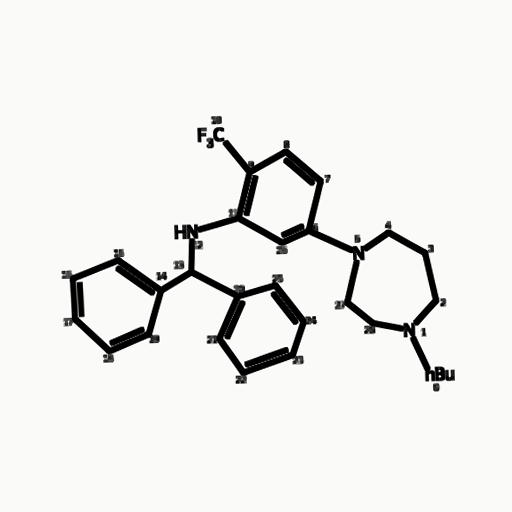 CCCCN1CCCN(c2ccc(C(F)(F)F)c(NC(c3ccccc3)c3ccccc3)c2)CC1